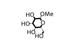 CO[C@@H]1O[C@H](CO)[C@H](O)[C@H](O)C1O